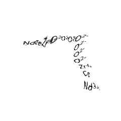 [Ce].[Ce].[Nd+3].[Nd+3].[O-2].[O-2].[O-2].[O-2].[O-2].[O-2].[O-2].[Zr+4].[Zr+4]